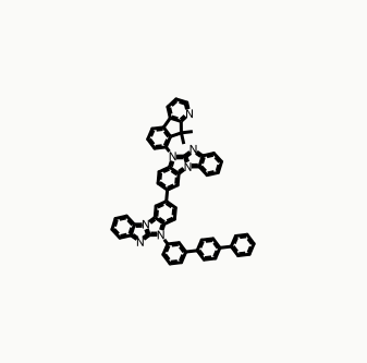 CC1(C)c2ncccc2-c2cccc(-n3c4ccc(-c5ccc6c(c5)n5c7ccccc7nc5n6-c5cccc(-c6ccc(-c7ccccc7)cc6)c5)cc4n4c5ccccc5nc34)c21